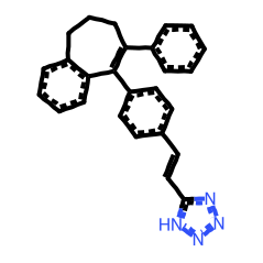 C(=Cc1nnn[nH]1)c1ccc(C2=C(c3ccccc3)CCCc3ccccc32)cc1